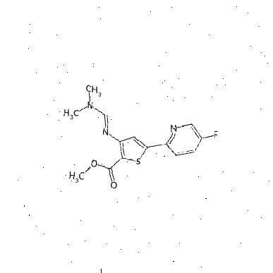 COC(=O)c1sc(-c2ccc(F)cn2)cc1N=CN(C)C